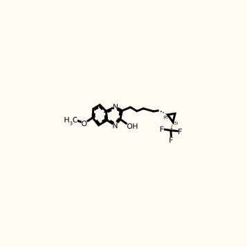 COc1ccc2nc(CCCCC[C@@H]3C[C@@H]3C(F)(F)F)c(O)nc2c1